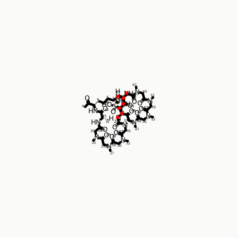 CC(=O)[C@H](CCCCNC(=N)N)NC(=O)[C@H](C)NC(=O)CN(C)C(=O)CN(C)C(=O)CN(C)C(=O)CN(C)C(=O)CN(C)C(=O)CN(C)C(=O)CN(C)C(=O)CN(C)C(=O)CN(C)C(=O)CN(C)C(=O)C(CN)S(=O)(=O)O